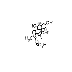 CC[C@H]1[C@@H](O)C2C3CC[C@H]([C@H](C)CCOS(=O)(=O)O)[C@@]3(C)C[C@H](O)C2[C@@]2(C)CC[C@@H](O)C[C@@H]12